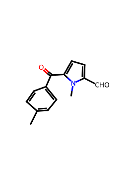 Cc1ccc(C(=O)c2ccc(C=O)n2C)cc1